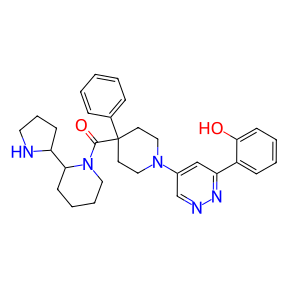 O=C(N1CCCCC1C1CCCN1)C1(c2ccccc2)CCN(c2cnnc(-c3ccccc3O)c2)CC1